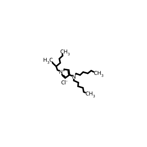 CCCCCCN(CCCCCC)c1cc[n+](CC(CC)CCCC)cc1.[Cl-]